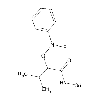 CC(C)C(ON(F)c1ccccc1)C(=O)NO